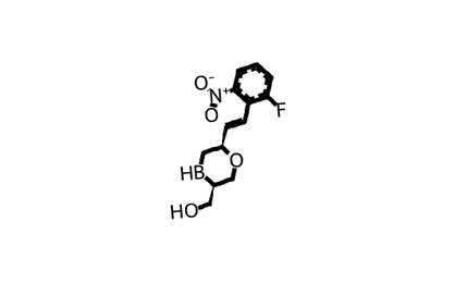 O=[N+]([O-])c1cccc(F)c1C=C[C@@H]1CB[C@H](CO)CO1